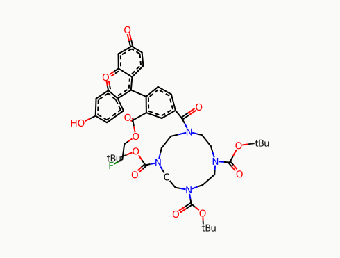 CC(C)(C)OC(=O)N1CCN(C(=O)OC(C)(C)C)CCN(C(=O)c2ccc(-c3c4ccc(=O)cc-4oc4cc(O)ccc34)c(C(=O)OCCF)c2)CCN(C(=O)OC(C)(C)C)CC1